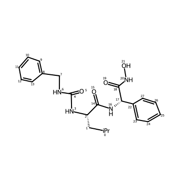 CC(C)C[C@H](NC(=O)NCc1ccccc1)C(=O)N[C@H](C(=O)NO)c1ccccc1